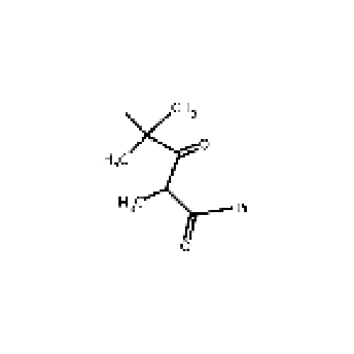 CC(C)C(=O)C(C)C(=O)C(C)(C)F